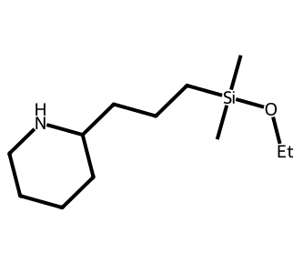 CCO[Si](C)(C)CCCC1CCCCN1